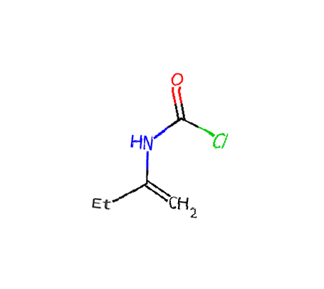 C=C(CC)NC(=O)Cl